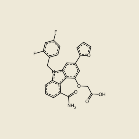 NC(=O)c1cccc2c1c1c(OCC(=O)O)cc(-c3ccco3)cc1n2Cc1ccc(F)cc1F